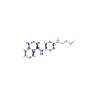 CCCCOc1ccc(Nc2ccnc3ccccc23)cc1